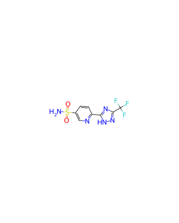 NS(=O)(=O)c1ccc(-c2nc(C(F)(F)F)n[nH]2)nc1